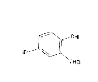 CC(C)c1ccc(O)c(C=O)c1